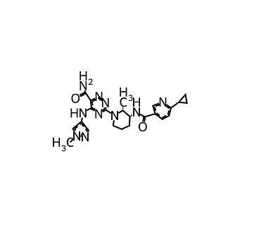 C[C@@H]1[C@H](NC(=O)c2ccc(C3CC3)nc2)CCCN1c1nnc(C(N)=O)c(Nc2cnn(C)c2)n1